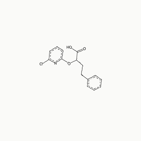 O=C(O)C(CCc1ccccc1)Oc1cccc(Cl)n1